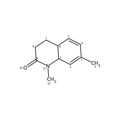 CC1=CC2C(C=C1)CCC(=O)N2C